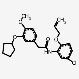 C=CCOc1ccc(Cl)cc1NC(=O)Cc1ccc(OC)c(OC2CCCC2)c1